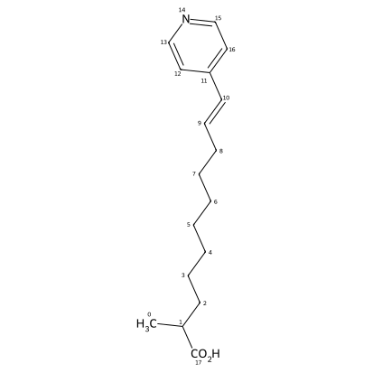 CC(CCCCCCCC=Cc1ccncc1)C(=O)O